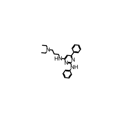 CCN(CC)CCCNc1cc(-c2ccccc2)nc(Nc2ccccc2)n1